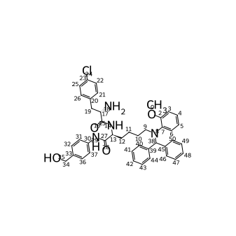 COc1ccccc1N(CCCC[C@H](NC(=O)[C@@H](N)Cc1ccc(Cl)cc1)C(=O)Nc1ccc(CO)cc1)C(c1ccccc1)c1ccccc1